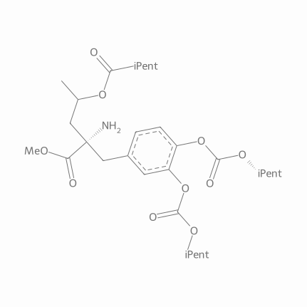 CCCC(C)OC(=O)Oc1cc(C[C@](N)(CC(C)OC(=O)C(C)CCC)C(=O)OC)ccc1OC(=O)O[C@@H](C)CCC